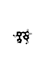 COc1ccc2c(c1)NC(=O)/C2=C/c1ccc(OC)c(-c2ccsc2)c1